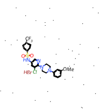 Br.COc1cccc(N2CCN(c3ncc(NS(=O)(=O)c4ccc(C(F)(F)F)cc4)cc3Cl)CC2)c1